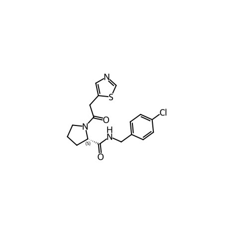 O=C(NCc1ccc(Cl)cc1)[C@@H]1CCCN1C(=O)Cc1cncs1